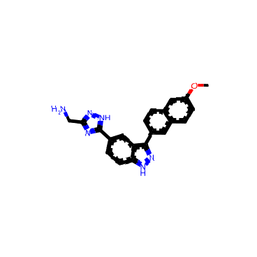 COc1ccc2cc(-c3n[nH]c4ccc(-c5nc(CN)n[nH]5)cc34)ccc2c1